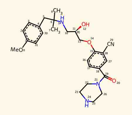 COc1ccc(CC(C)(C)NC[C@@H](O)COc2ccc(C(=O)N3CCNCC3)cc2C#N)cc1